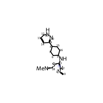 C=N/N=C(/NC1CCC(C2=NNCC=C2)CC1)SCNC